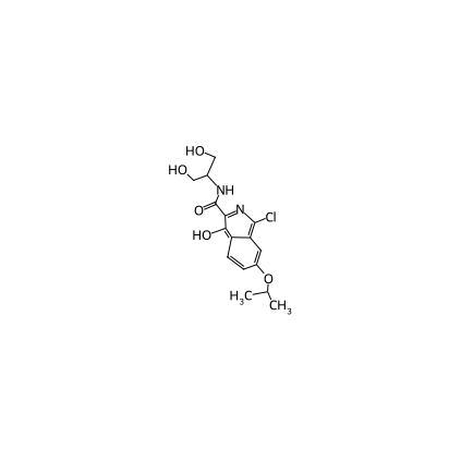 CC(C)Oc1ccc2c(O)c(C(=O)NC(CO)CO)nc(Cl)c2c1